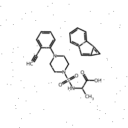 C#Cc1ccccc1N1CCN(S(=O)(=O)NC(C)C(=O)O)CC1.c1ccc2c3cc-3cc2c1